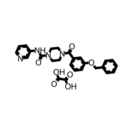 O=C(Nc1cccnc1)N1CCN(C(=O)c2cccc(OCc3ccccc3)c2)CC1.O=C(O)C(=O)O